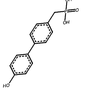 O=P(O)(O)Cc1ccc(-c2ccc(O)cc2)cc1